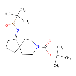 CC(C)(C)OC(=O)N1CCC2(CCC/C2=N\[S@+]([O-])C(C)(C)C)CC1